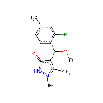 CCOC(c1ccc(C)cc1F)c1c(C)n(C(C)C)[nH]c1=O